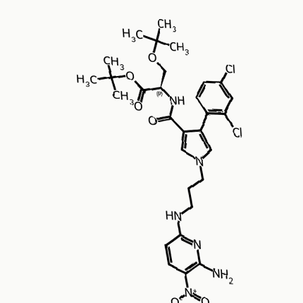 CC(C)(C)OC[C@@H](NC(=O)c1cn(CCCNc2ccc([N+](=O)[O-])c(N)n2)cc1-c1ccc(Cl)cc1Cl)C(=O)OC(C)(C)C